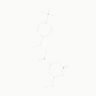 CN(C)c1nc(C(=O)NC(CO)c2ccc(C(F)(F)F)cc2)cc(=O)[nH]1